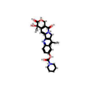 CCCc1c2c(nc3ccc(OC(=O)N4CCCCC4)cc13)-c1cc3c(c(=O)n1C2)COC(=O)[C@]3(O)CC